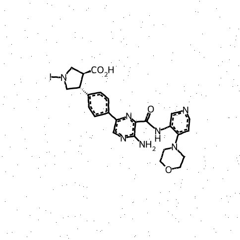 Nc1ncc(-c2ccc([C@@H]3CN(I)C[C@H]3C(=O)O)cc2)nc1C(=O)Nc1cnccc1N1CCOCC1